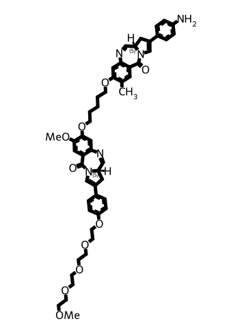 COCCOCCOCCOCCOc1ccc(C2=CN3C(=O)c4cc(OC)c(OCCCCCOc5cc6c(cc5C)C(=O)N5C=C(c7ccc(N)cc7)C[C@H]5C=N6)cc4N=C[C@@H]3C2)cc1